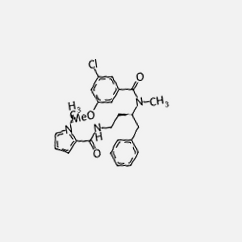 COc1cc(Cl)cc(C(=O)N(C)[C@H](CCNC(=O)c2cccn2C)Cc2ccccc2)c1